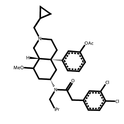 COC1C[C@@H](N(CC(C)C)C(=O)Cc2ccc(Cl)c(Cl)c2)C[C@]2(c3cccc(OC(C)=O)c3)CCN(CC3CC3)C[C@@H]12